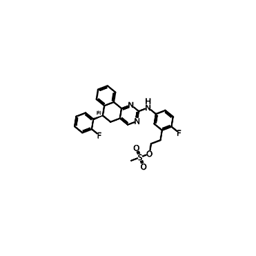 CS(=O)(=O)OCCc1cc(Nc2ncc3c(n2)-c2ccccc2[C@H](c2ccccc2F)C3)ccc1F